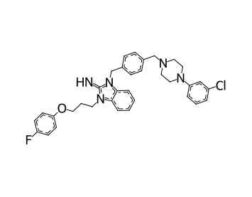 N=c1n(CCCOc2ccc(F)cc2)c2ccccc2n1Cc1ccc(CN2CCN(c3cccc(Cl)c3)CC2)cc1